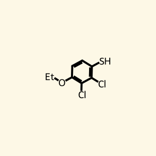 CCOc1ccc(S)c(Cl)c1Cl